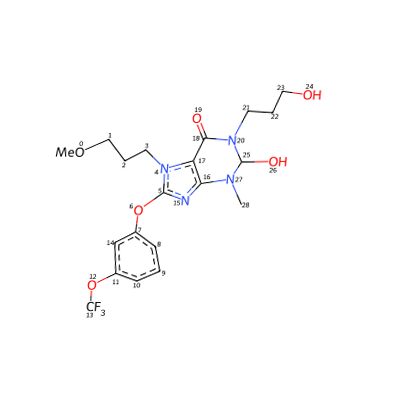 COCCCn1c(Oc2cccc(OC(F)(F)F)c2)nc2c1C(=O)N(CCCO)C(O)N2C